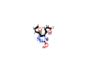 COc1nnc(-c2ccco2)c(-c2ccco2)n1